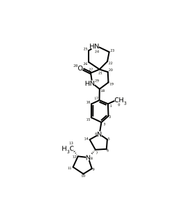 Cc1cc(N2CC[C@H](N3CCC[C@@H]3C)C2)ccc1C1CCC2(CCNCC2)C(=O)N1